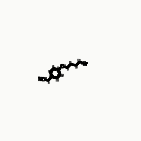 N#CCc1ccc(OCCCCBr)cc1